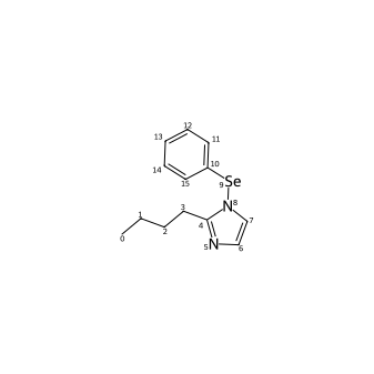 CCCCc1nccn1[Se]c1ccccc1